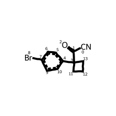 N#CC(=O)C1(c2ccc(Br)cc2)CCC1